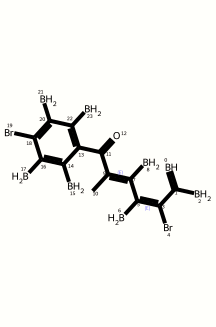 B=C(B)/C(Br)=C(B)\C(B)=C(/C)C(=O)c1c(B)c(B)c(Br)c(B)c1B